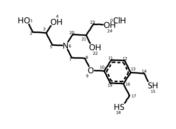 Cl.OCC(O)CN(CCOc1ccc(CS)c(CS)c1)CC(O)CO